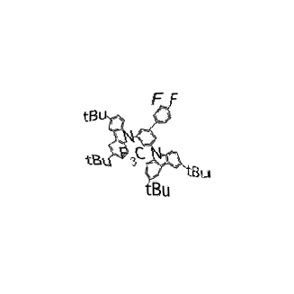 CC(C)(C)c1ccc2c(c1)c1cc(C(C)(C)C)ccc1n2-c1cc(-c2ccc(F)c(F)c2)cc(-n2c3ccc(C(C)(C)C)cc3c3cc(C(C)(C)C)ccc32)c1C(F)(F)F